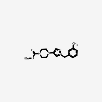 Cc1cccc(Cn2cc(N3CCN(C(=O)OC(C)(C)C)CC3)cn2)c1